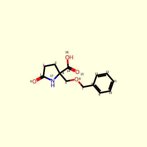 O=C1CCC(COCc2ccccc2)(C(=O)O)N1